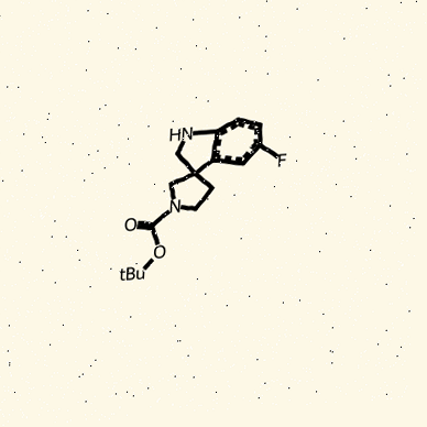 CC(C)(C)OC(=O)N1CCC2(CNc3ccc(F)cc32)C1